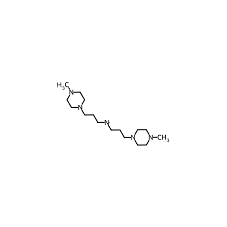 CN1CCN(CCC[N]CCCN2CCN(C)CC2)CC1